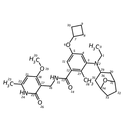 CCN(c1cc(OC2CCC2)cc(C(=O)NCc2c(OC)cc(C)[nH]c2=O)c1C)C1CC2CCC(C1)O2